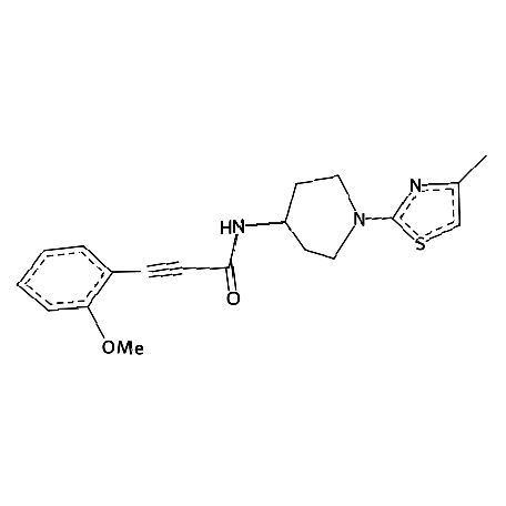 COc1ccccc1C#CC(=O)NC1CCN(c2nc(C)cs2)CC1